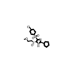 COCC[S+]([O-])c1[nH]c(-c2ccccc2)nc1S(=O)(=O)c1ccc(Cl)cc1